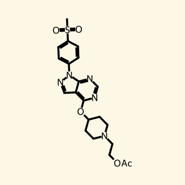 CC(=O)OCCN1CCC(Oc2ncnc3c2cnn3-c2ccc(S(C)(=O)=O)cc2)CC1